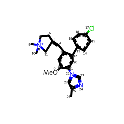 COc1cc(/C=C2/CC[N+](C)(C)C2)c(-c2ccc(Cl)cc2)cc1-n1cnc(C)c1